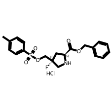 Cc1ccc(S(=O)(=O)OC[C@]2(F)CN[C@H](C(=O)OCc3ccccc3)C2)cc1.Cl